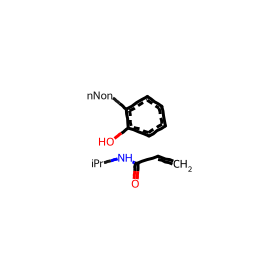 C=CC(=O)NC(C)C.CCCCCCCCCc1ccccc1O